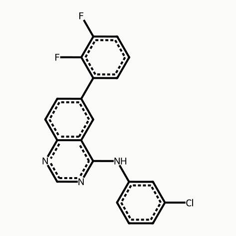 Fc1cccc(-c2ccc3ncnc(Nc4cccc(Cl)c4)c3c2)c1F